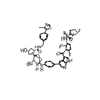 Cc1ncsc1-c1ccc(CNC(=O)[C@@H]2C[C@@H](O)CN2C(=O)[C@@H](NC(=O)Bc2ccc(-c3cnc4[nH]cc(C(=O)c5c(F)ccc(NS(=O)(=O)N6CC[C@@H](F)C6)c5F)c4c3)cc2)C(C)(C)C)cc1